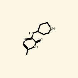 Cc1cnc(NC2CCNCC2)c(=O)[nH]1